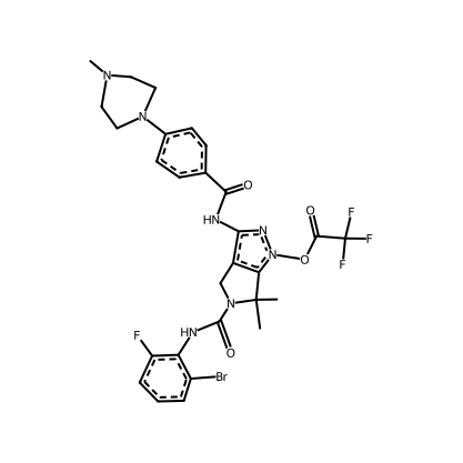 CN1CCN(c2ccc(C(=O)Nc3nn(OC(=O)C(F)(F)F)c4c3CN(C(=O)Nc3c(F)cccc3Br)C4(C)C)cc2)CC1